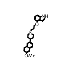 COc1ccc2cc(C3CCN(CCCOc4cccc5[nH]ccc45)CC3)ccc2c1